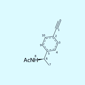 C#Cc1ccc([C@@H](C)NC(C)=O)cc1